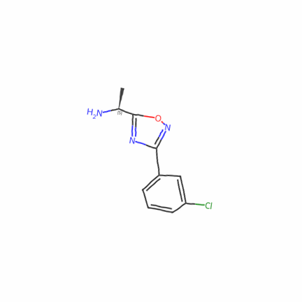 C[C@H](N)c1nc(-c2cccc(Cl)c2)no1